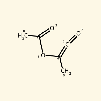 CC(=O)OC(C)=C=O